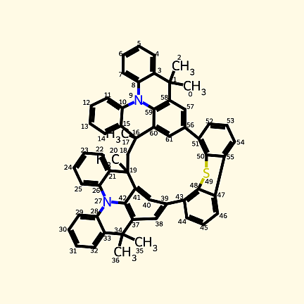 CC1(C)c2ccccc2N2c3ccccc3C3(C)CC4(C)c5ccccc5N5c6ccccc6C(C)(C)c6cc(cc4c65)-c4cccc5c4sc4c(cccc45)-c4cc1c2c3c4